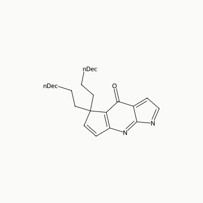 CCCCCCCCCCCCC1(CCCCCCCCCCCC)C=CC2=C1C(=O)C1=CC=NC1=N2